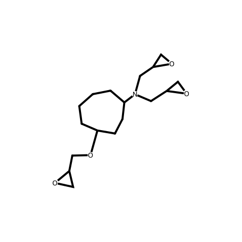 C1CCC(N(CC2CO2)CC2CO2)CCC(OCC2CO2)C1